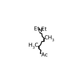 CCN(CC)CCC/C(C)=C\CC/C(C)=C\CCC(C)=O